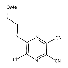 COCCNc1nc(C#N)c(C#N)nc1Cl